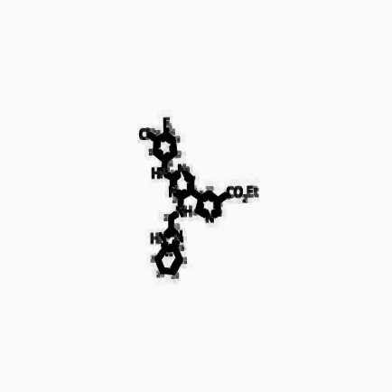 CCOC(=O)c1cncc(-c2cnc(Nc3ccc(F)c(Cl)c3)nc2NCc2nc3c([nH]2)CCC=C3)c1